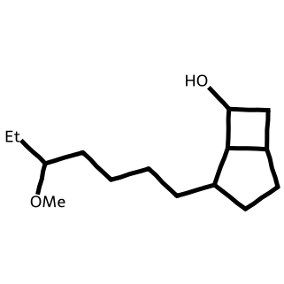 CCC(CCCCC1CCC2CC(O)C12)OC